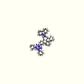 c1ccc(-c2cc(-c3ccc(-c4nc(-c5ccccc5)nc(-c5ccccc5)n4)cc3-c3ccccc3)cc(-n3c4ccccc4c4ccccc43)c2)cc1